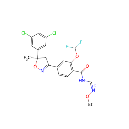 CCO/N=C\NC(=O)c1ccc(C2=NOC(c3cc(Cl)cc(Cl)c3)(C(F)(F)F)C2)cc1OC(F)F